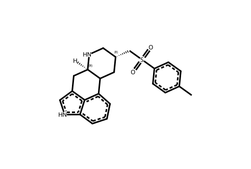 Cc1ccc(S(=O)(=O)C[C@H]2CN[C@@H]3Cc4c[nH]c5cccc(c45)C3C2)cc1